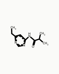 CCc1cc(NC(=O)C(C)C)ncn1